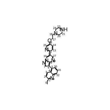 Ic1ccc2c(-c3cnn4cc(-c5ccc(OCCN6CCNCC6)cn5)cnc34)cccc2n1